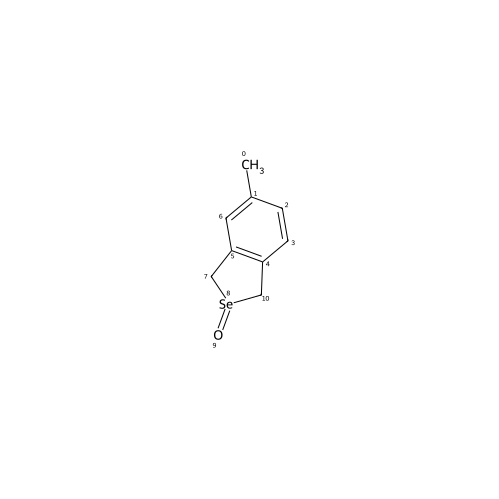 Cc1ccc2c(c1)C[Se](=O)C2